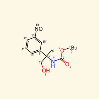 CC(C)(C)OC(=O)NC(C)(CO)c1cccc(N=O)c1